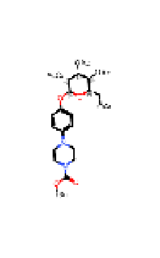 CC(=O)OC[C@H]1O[C@@H](Oc2ccc(N3CCN(C(=O)OC(C)(C)C)CC3)cc2)[C@H](OC(C)=O)[C@@H](OC(C)=O)[C@H]1OC(C)=O